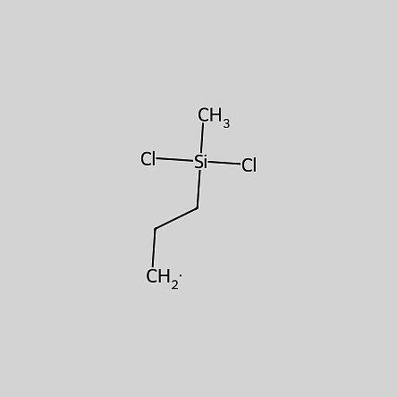 [CH2]CC[Si](C)(Cl)Cl